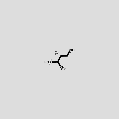 CCCCCCC(C)C(=O)O.[Cu]